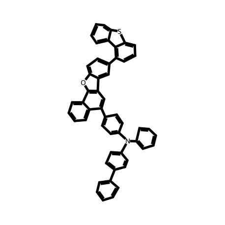 c1ccc(-c2ccc(N(c3ccccc3)c3ccc(-c4cc5c6cc(-c7cccc8sc9ccccc9c78)ccc6oc5c5ccccc45)cc3)cc2)cc1